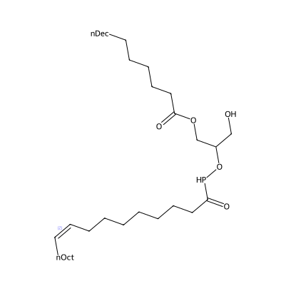 CCCCCCCC/C=C\CCCCCCCC(=O)POC(CO)COC(=O)CCCCCCCCCCCCCCC